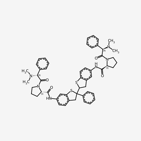 CN(C)[C@@H](C(=O)N1CCC[C@H]1C(=O)Nc1ccc2c(c1)CC(C1(c3ccccc3)Cc3ccc(NC(=O)[C@@H]4CCCN4C(=O)[C@@H](c4ccccc4)N(C)C)cc3S1)S2)c1ccccc1